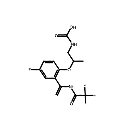 C=C(NC(=O)C(F)(F)F)c1cc(F)ccc1OC(C)CNC(=O)O